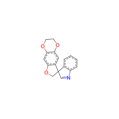 C1=Nc2ccccc2C12COc1cc3c(cc12)OCCO3